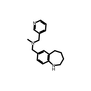 CN(Cc1cccnc1)Cc1ccc2c(c1)CCCCN2